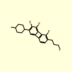 CC1CCC(c2cc3c(c(F)c2F)-c2c-3ccc(CCCF)c2F)CC1